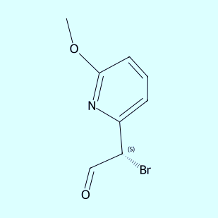 COc1cccc([C@H](Br)C=O)n1